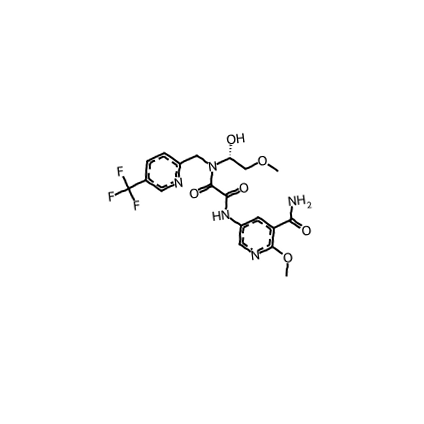 COC[C@@H](O)N(Cc1ccc(C(F)(F)F)cn1)C(=O)C(=O)Nc1cnc(OC)c(C(N)=O)c1